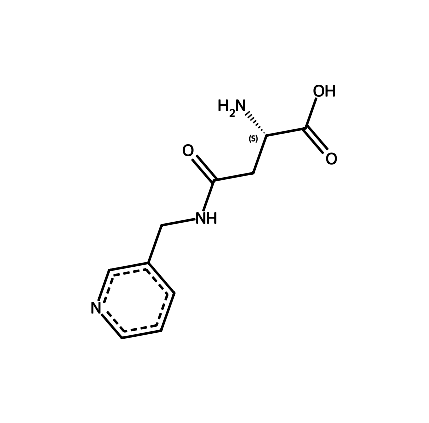 N[C@@H](CC(=O)NCc1cccnc1)C(=O)O